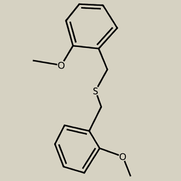 COc1ccccc1CSCc1ccccc1OC